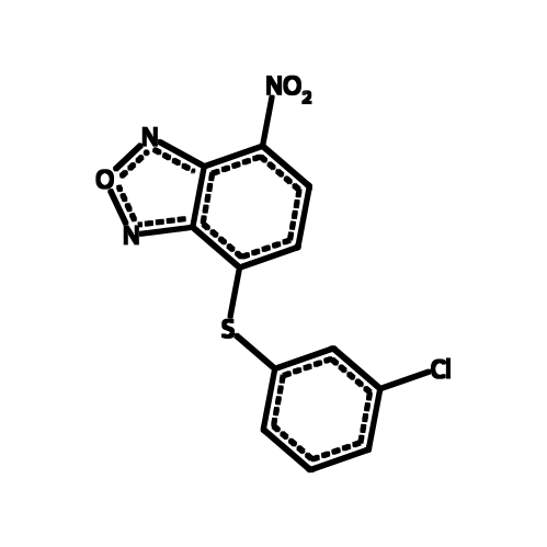 O=[N+]([O-])c1ccc(Sc2cccc(Cl)c2)c2nonc12